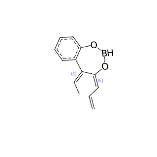 C=C/C=C1/OBOc2ccccc2/C1=C/C